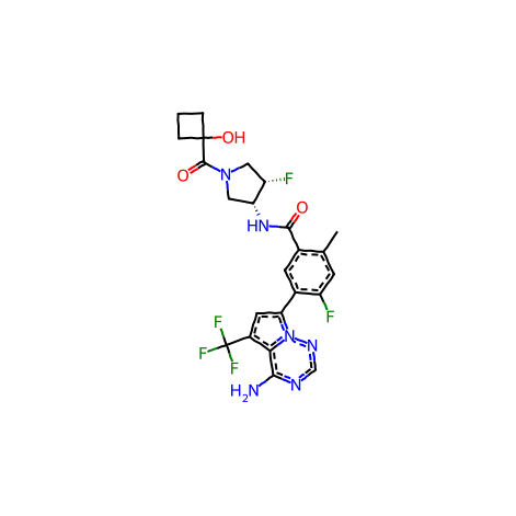 Cc1cc(F)c(-c2cc(C(F)(F)F)c3c(N)ncnn23)cc1C(=O)N[C@@H]1CN(C(=O)C2(O)CCC2)C[C@@H]1F